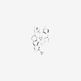 CC(C)CNS(=O)(=O)c1c2c(cc3cnc(C4CC4)cc13)CCC(n1cnnc1Nc1cccnc1)C2